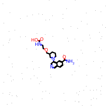 NC(=O)c1ccc2cncc(N3CCCC(COCCNC(=O)O)C3)c2c1